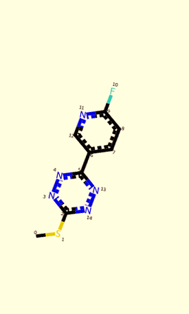 CSc1nnc(-c2ccc(F)nc2)nn1